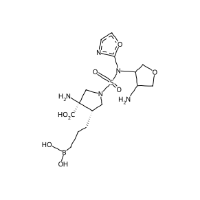 NC1COCC1N(c1ncco1)S(=O)(=O)N1C[C@H](CCCB(O)O)[C@](N)(C(=O)O)C1